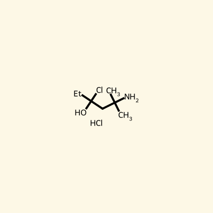 CCC(O)(Cl)CC(C)(C)N.Cl